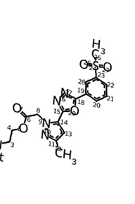 CCN(CC)CCOC(=O)Cn1nc(C)cc1-c1nnc(-c2cccc(S(C)(=O)=O)c2)o1